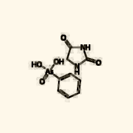 O=C1CNC(=O)N1.O=[As](O)(O)c1ccccc1